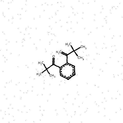 C=C(c1ccccc1C(=O)C(C)(C)C)C(C)(C)C